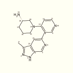 Cc1n[nH]c2cnc(-c3cnccc3N3CCC[C@H](N)C3)cc12